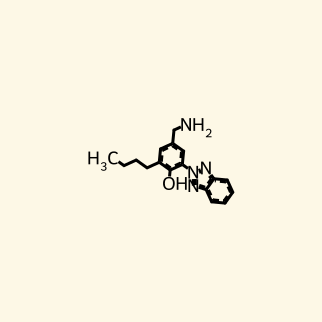 CCCCc1cc(CN)cc(-n2nc3ccccc3n2)c1O